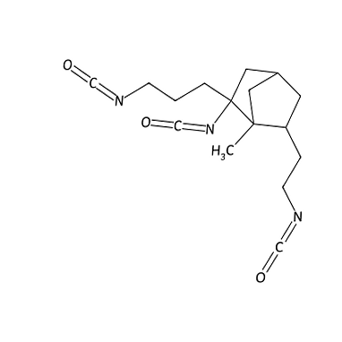 CC12CC(CC1CCN=C=O)CC2(CCCN=C=O)N=C=O